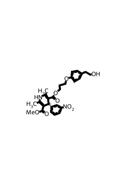 COC(=O)C1=C(C)NC(C)=C(C(=O)OCCCOc2ccc(CCO)cc2)[C@@H]1c1cccc([N+](=O)[O-])c1